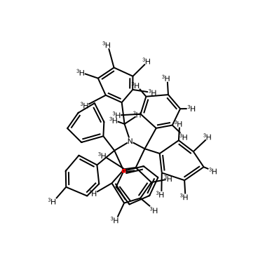 [3H]c1ccc(C(c2ccccc2)(c2ccccc2)N(C([3H])([3H])c2c([3H])c([3H])c([3H])c([3H])c2[3H])C(c2c([3H])c([3H])c([3H])c([3H])c2[3H])(c2c([3H])c([3H])c([3H])c([3H])c2[3H])c2c([3H])c([3H])c([3H])c([3H])c2[3H])cc1